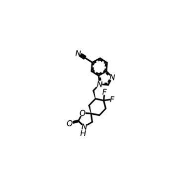 N#Cc1ccc2ncn(C[C@@H]3C[C@@]4(CCC3(F)F)CNC(=O)O4)c2c1